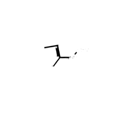 CC=C(C)NC=O